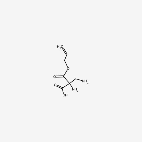 C=CCOC(=O)C(N)(CN)C(=O)O